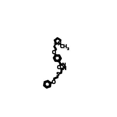 CN1CCC[C@@H]1CCOc1ccc(-c2nnc(CSCCOc3ccccc3)o2)cc1